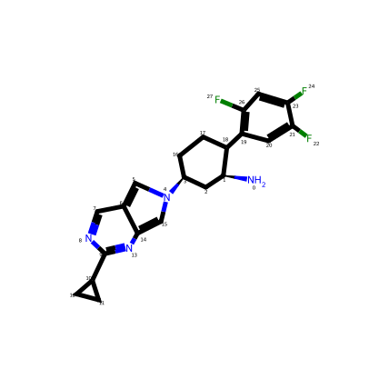 N[C@H]1C[C@@H](n2cc3cnc(C4CC4)nc3c2)CCC1c1cc(F)c(F)cc1F